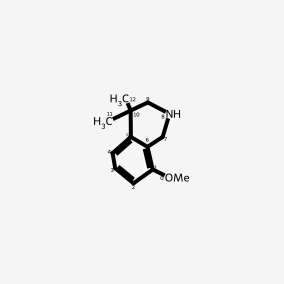 COc1cccc2c1CNCC2(C)C